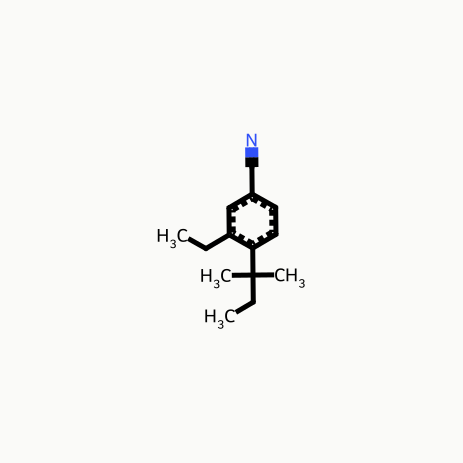 CCc1cc(C#N)ccc1C(C)(C)CC